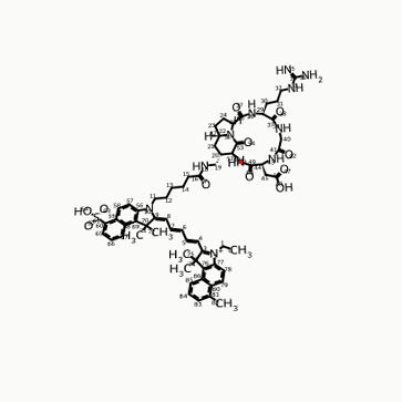 CC[N+]1=C(/C=C/C=C/C=C2/N(CCCCCC(=O)NC[C@@H]3C[C@@H]4CC[C@H]5C(=O)N[C@@H](CCCNC(=N)N)C(=O)NCC(=O)N[C@@H](CC(=O)O)C(=O)N[C@H]3C(=O)N45)c3ccc4c(S(=O)(=O)O)cccc4c3C2(C)C)C(C)(C)c2c1ccc1c(C)cccc21